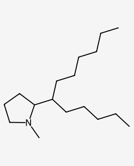 CCCCCCC(CCCCC)C1CCCN1C